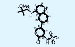 COC(C)(C)CNc1ccnc2ccc(-c3cnc(Cl)c(NS(C)(=O)=O)c3)cc12